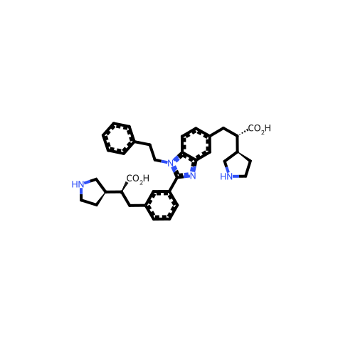 O=C(O)[C@@H](Cc1cccc(-c2nc3cc(C[C@H](C(=O)O)[C@H]4CCNC4)ccc3n2CCc2ccccc2)c1)[C@H]1CCNC1